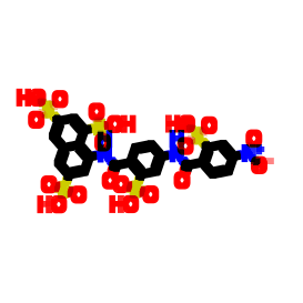 O=C(Nc1ccc(C(=O)Nc2cc(S(=O)(=O)O)cc3cc(S(=O)(=O)O)cc(S(=O)(=O)O)c23)c(S(=O)(=O)O)c1)c1ccc([N+](=O)[O-])cc1S(=O)(=O)O